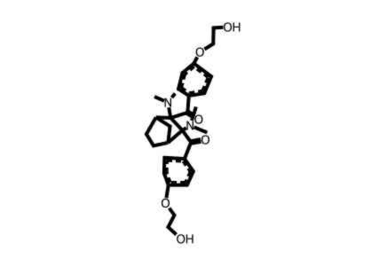 CN(C)C1(C(=O)c2ccc(OCCO)cc2)C2CCC(C2)C1(C(=O)c1ccc(OCCO)cc1)N(C)C